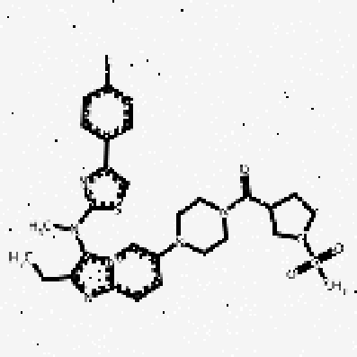 CCc1nc2ccc(N3CCN(C(=O)C4CCN(S(C)(=O)=O)C4)CC3)cn2c1N(C)c1nc(-c2ccc(F)cc2)cs1